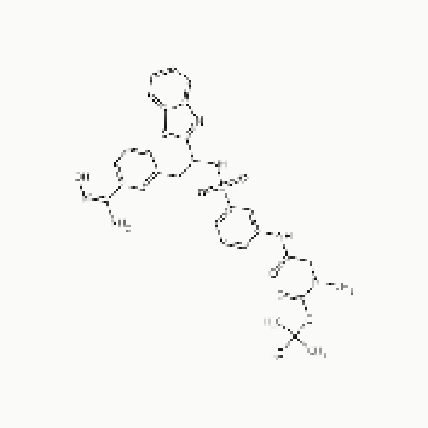 CN(CC(=O)Nc1cccc(S(=O)(=O)NC(Cc2cccc(/C(N)=N\O)c2)c2nc3ccccc3s2)c1)C(=O)OC(C)(C)C